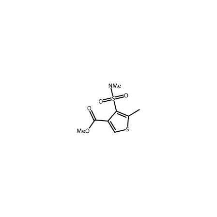 CNS(=O)(=O)c1c(C(=O)OC)csc1C